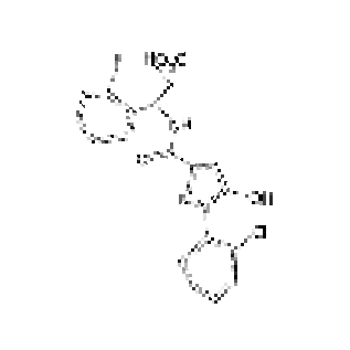 O=C(O)CC(NC(=O)c1cc(O)n(-c2ccccc2Cl)n1)c1ccccc1F